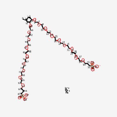 Cc1ccc(OCCOCCOCCOCCOCCOCCOCCOCCOCCCS(=O)(=O)[O-])c(OCCOCCOCCOCCOCCOCCOCCOCCOCCCS(=O)(=O)[O-])c1.[K+].[K+]